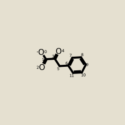 [O]C(=O)C(=O)Cc1ccccc1